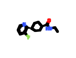 CCNC(=O)[C@H]1CC[C@H](c2ncccc2F)CC1